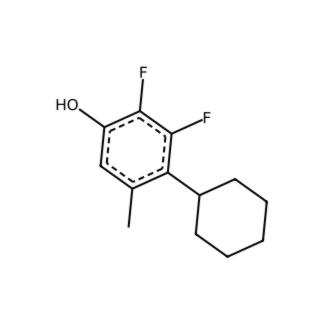 Cc1cc(O)c(F)c(F)c1C1CCCCC1